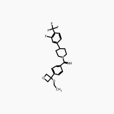 CCOC1(c2ccc(C(=N)N3CCC(c4ccc(C(F)(F)F)c(F)c4)CC3)cc2)COC1